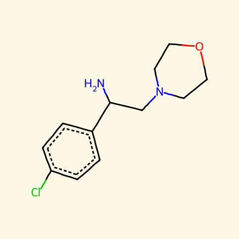 NC(CN1CCOCC1)c1ccc(Cl)cc1